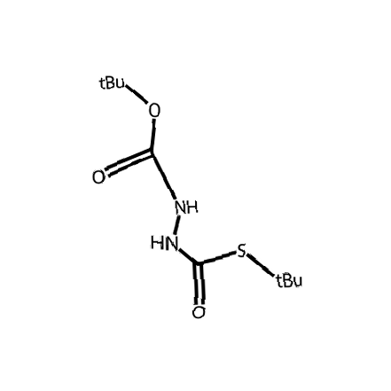 CC(C)(C)OC(=O)NNC(=O)SC(C)(C)C